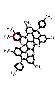 Cc1ccc(-n2c3cc(C)cc4oc5c6oc7cc(C)cc8c7p7c9c(cc(C)cc9n(-c9ccc(C)cc9)c(c9c5p(c43)c3c2cc(C)cc3n9-c2ccc(C)cc2)c67)n8-c2ccc(C)cc2)cc1